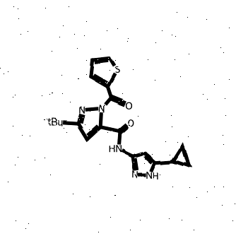 CC(C)(C)c1cc(C(=O)Nc2cc(C3CC3)[nH]n2)n(C(=O)c2cccs2)n1